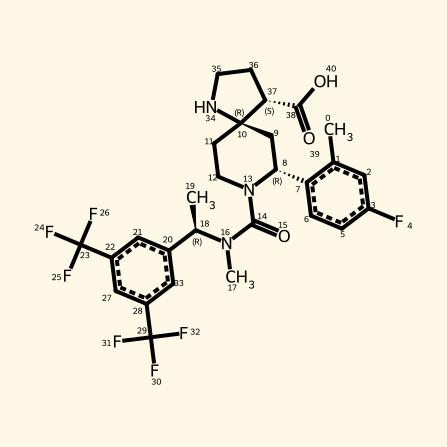 Cc1cc(F)ccc1[C@H]1C[C@@]2(CCN1C(=O)N(C)[C@H](C)c1cc(C(F)(F)F)cc(C(F)(F)F)c1)NCC[C@@H]2C(=O)O